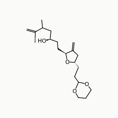 C=C(I)C(C)C[C@H](O)CC[C@@H]1O[C@@H](CCC2OCCCO2)CC1=C